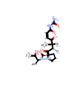 CC(C)C(NC(=O)[C@@]1(C(=O)[C@@H](N)C(C)(C)C(=O)/C=C\C(=O)NC(N)=O)CCCN1)C(O)C(F)(F)F